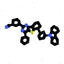 N#Cc1cccc(-c2nc(-c3ccccc3)c3sc4c(-c5cccc(-n6c7ccccc7c7ccccc76)c5)cccc4c3n2)c1